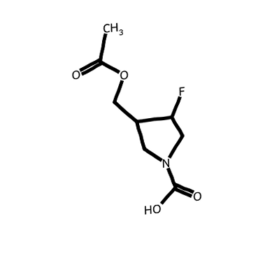 CC(=O)OCC1CN(C(=O)O)CC1F